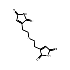 O=C1C=C(CCOCCC2=CC(=O)NC2=O)C(=O)N1